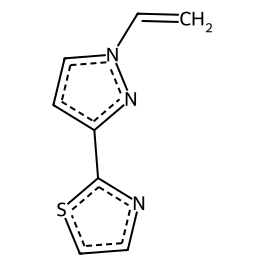 C=Cn1ccc(-c2nccs2)n1